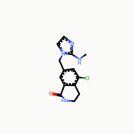 CNc1nccn1Cc1cc(Cl)c2c(c1)C(=O)NCC2